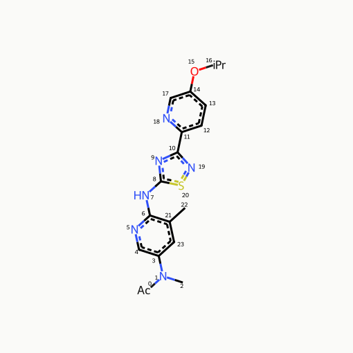 CC(=O)N(C)c1cnc(Nc2nc(-c3ccc(OC(C)C)cn3)ns2)c(C)c1